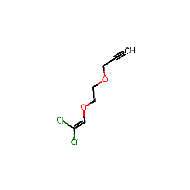 C#CCOCCOC=C(Cl)Cl